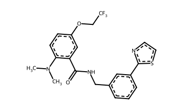 CN(C)c1ccc(OCC(F)(F)F)cc1C(=O)NCc1cccc(-c2nccs2)c1